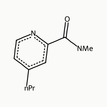 CCCc1ccnc(C(=O)NC)c1